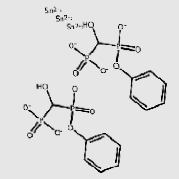 O=P([O-])([O-])C(O)P(=O)([O-])Oc1ccccc1.O=P([O-])([O-])C(O)P(=O)([O-])Oc1ccccc1.[Sn+2].[Sn+2].[Sn+2]